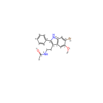 COc1cc2c(CCNC(C)=O)c(-c3ccccc3)[nH]c2cc1Br